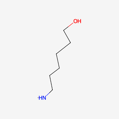 [NH]CCCCCCO